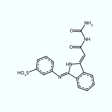 NC(=O)NC(=O)/C=C1\N/C(=N\c2cccc(S(=O)(=O)O)c2)c2ccccc21